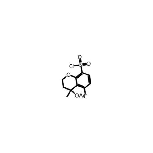 CC(=O)OC1(C)CCOc2c(S(=O)(=O)Cl)ccc(F)c21